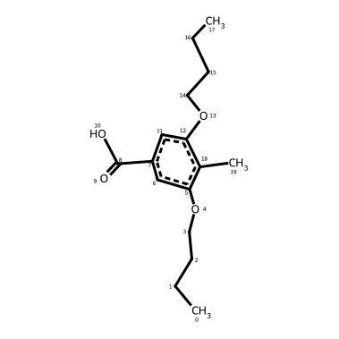 CCCCOc1cc(C(=O)O)cc(OCCCC)c1C